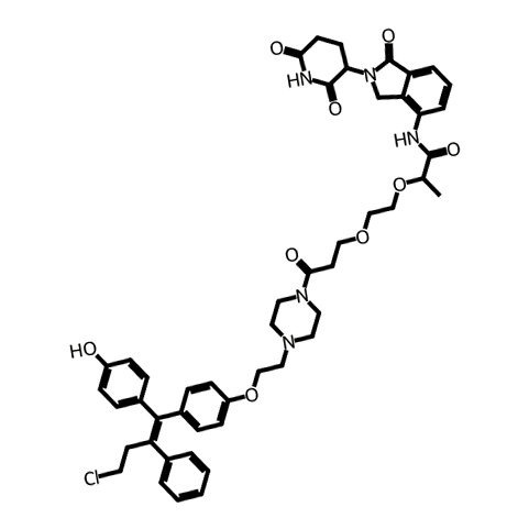 CC(OCCOCCC(=O)N1CCN(CCOc2ccc(C(=C(CCCl)c3ccccc3)c3ccc(O)cc3)cc2)CC1)C(=O)Nc1cccc2c1CN(C1CCC(=O)NC1=O)C2=O